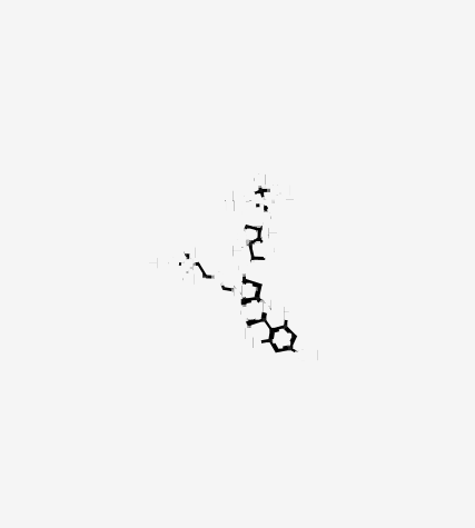 Cc1cc(F)c(-c2nc3cc(O[C@@H]4CO[C@H]5[C@@H]4OC[C@H]5O[Si](C)(C)C(C)(C)C)n(COCC[Si](C)(C)C)c3cc2F)c(F)c1